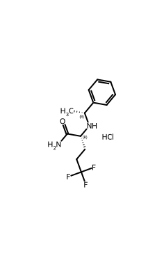 C[C@@H](N[C@H](CCC(F)(F)F)C(N)=O)c1ccccc1.Cl